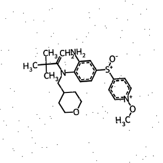 C=C(N(CC1CCOCC1)c1ccc([S+]([O-])c2cc[n+](OC)cc2)cc1N)C(C)(C)C